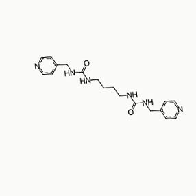 O=C(NCCCCNC(=O)NCc1ccncc1)NCc1ccncc1